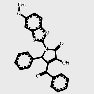 COc1ccc2nc(N3C(=O)C(O)=C(C(=O)c4ccccc4)C3c3ccccc3)sc2c1